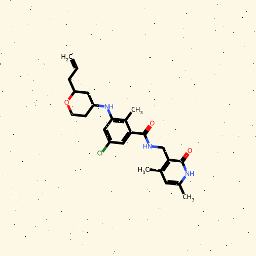 C=CCC1CC(Nc2cc(Cl)cc(C(=O)NCc3c(C)cc(C)[nH]c3=O)c2C)CCO1